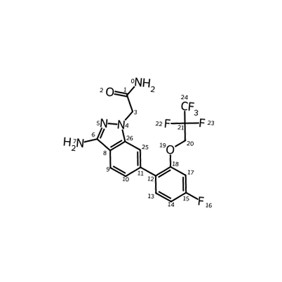 NC(=O)Cn1nc(N)c2ccc(-c3ccc(F)cc3OCC(F)(F)C(F)(F)F)cc21